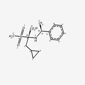 CS(=O)(=O)[C@@](CC1CC1)(N[C@H](c1ccccc1)C(F)(F)F)C(=O)O